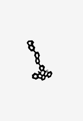 CC1(C)c2ccccc2-c2ccc3c(c(-c4ccc(-c5ccc6cc(-c7ccc8ccccc8c7)ccc6c5)cc4)nc4ccccc43)c21